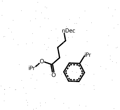 CC(C)c1ccccc1.CCCCCCCCCCCCCC(=O)OC(C)C